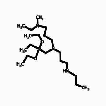 CCCNCCCN(CCCN(C)CC)C[Si](CC)(OCC)OCC